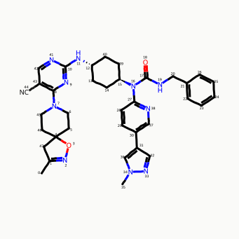 CC1=NOC2(CCN(c3nc(N[C@H]4CC[C@H](N(C(=O)NCc5ccccc5)c5ccc(-c6cnn(C)c6)cn5)CC4)ncc3C#N)CC2)C1